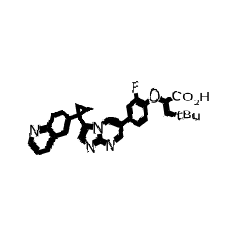 CC(C)(C)CC(Oc1ccc(-c2cnc3ncc(C4(c5ccc6ncccc6c5)CC4)n3c2)cc1F)C(=O)O